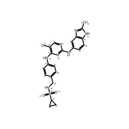 Cc1nc2cc(Nc3ncc(Cl)c(Nc4ccc(CNS(=O)(=O)C5CC5)cc4)n3)ccc2[nH]1